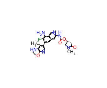 Cc1c(-c2cc3cc(NC(=O)OC4CC(=O)N(C)C4)ncc3c(N)c2F)cnc2c1NCCO2